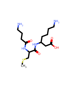 CSCC(NC(=O)CCCN)C(=O)NC(CCCCN)CC(=O)O